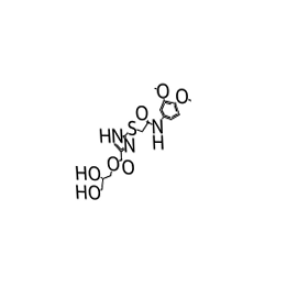 COc1ccc(NC(=O)CSc2nc(C(=O)OCC(O)CO)c[nH]2)cc1OC